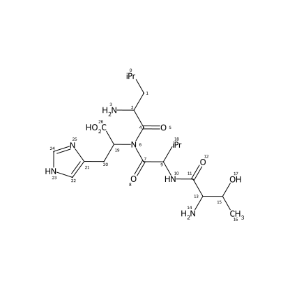 CC(C)CC(N)C(=O)N(C(=O)C(NC(=O)C(N)C(C)O)C(C)C)C(Cc1c[nH]cn1)C(=O)O